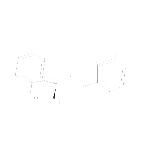 COc1ccccc1[C@H](O)CCc1ccccc1